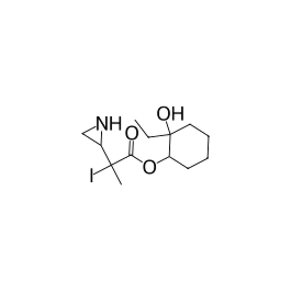 CCC1(O)CCCCC1OC(=O)C(C)(I)C1CN1